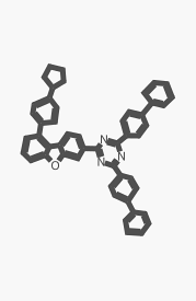 c1ccc(-c2ccc(-c3nc(-c4ccc(-c5ccccc5)cc4)nc(-c4ccc5c(c4)oc4cccc(-c6ccc(C7CCCC7)cc6)c45)n3)cc2)cc1